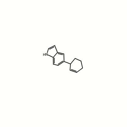 C1=CC(c2ccc3[nH]ccc3c2)CCC1